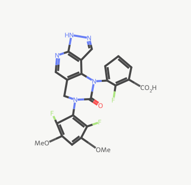 COc1cc(OC)c(F)c(N2Cc3cnc4[nH]ncc4c3N(c3cccc(C(=O)O)c3F)C2=O)c1F